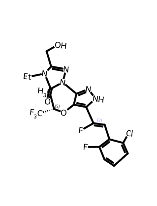 CCn1c(CO)nn(-c2n[nH]c(/C(F)=C/c3c(F)cccc3Cl)c2O[C@@H](C)C(F)(F)F)c1=O